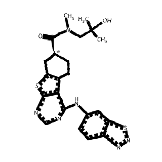 CN(CC(C)(C)O)C(=O)[C@H]1CCc2c(sc3ncnc(Nc4ccc5nnsc5c4)c23)C1